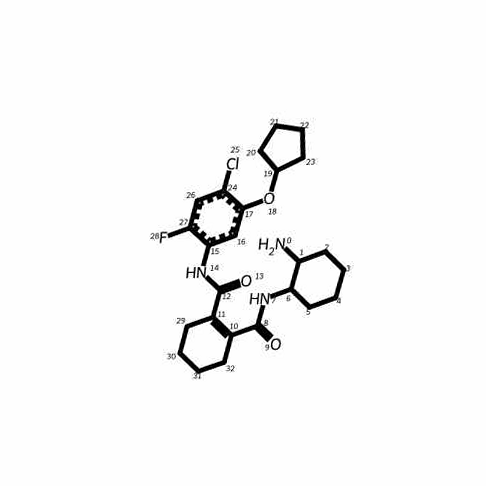 NC1CCCCC1NC(=O)C1=C(C(=O)Nc2cc(OC3CCCC3)c(Cl)cc2F)CCCC1